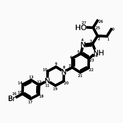 CCC(c1nc2cc(N3CCN(c4ccc(Br)cc4)CC3)ccc2[nH]1)C(C)O